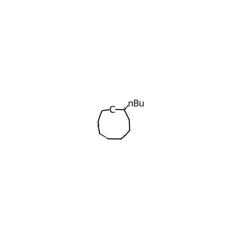 CCCC[C]1CCCCCCCC1